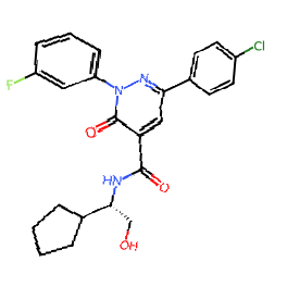 O=C(N[C@H](CO)C1CCCC1)c1cc(-c2ccc(Cl)cc2)nn(-c2cccc(F)c2)c1=O